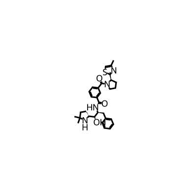 Cc1csc([C@H]2CCCN2C(=O)c2cccc(C(=O)N[C@@H](Cc3ccccc3)[C@@H](O)[C@H]3CCC(C)(C)N3)c2)n1